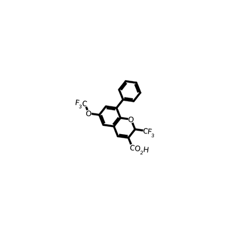 O=C(O)C1=Cc2cc(OC(F)(F)F)cc(-c3ccccc3)c2OC1C(F)(F)F